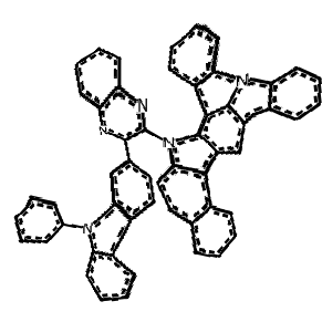 c1ccc(-n2c3ccccc3c3ccc(-c4nc5ccccc5nc4-n4c5ccc6ccccc6c5c5cc6c7ccccc7n7c8ccccc8c(c54)c67)cc32)cc1